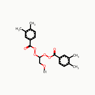 [CH2]COC[C](OOC(=O)c1ccc(C)c(C)c1)OOC(=O)c1ccc(C)c(C)c1